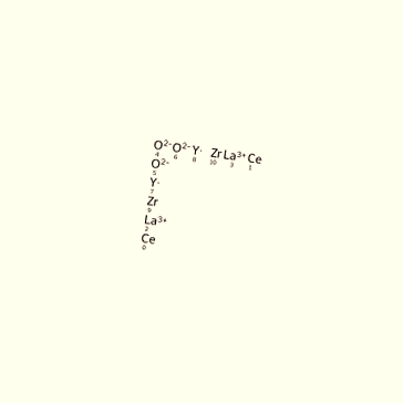 [Ce].[Ce].[La+3].[La+3].[O-2].[O-2].[O-2].[Y].[Y].[Zr].[Zr]